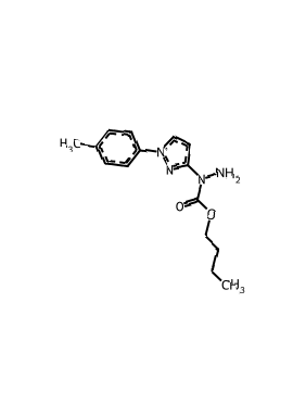 CCCCOC(=O)N(N)c1ccn(-c2ccc(C)cc2)n1